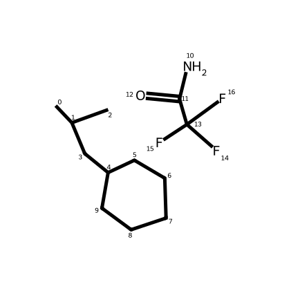 CC(C)CC1CCCCC1.NC(=O)C(F)(F)F